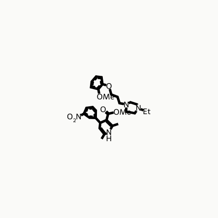 CCN1CCN(CCCOc2ccccc2OC)CC1.COC(=O)C1=C(C)NC(C)=CC1c1cccc([N+](=O)[O-])c1